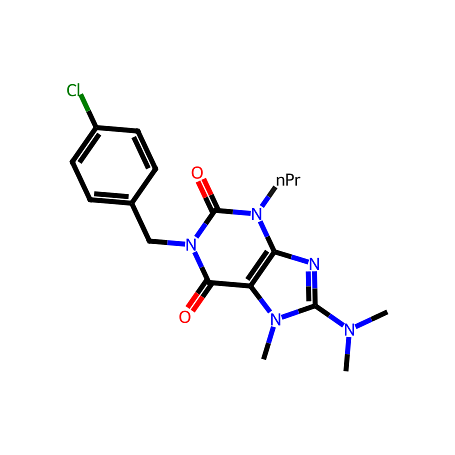 CCCn1c(=O)n(Cc2ccc(Cl)cc2)c(=O)c2c1nc(N(C)C)n2C